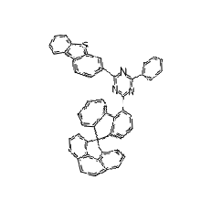 c1ccc(-c2nc(-c3ccc4c(c3)sc3ccccc34)nc(-c3cccc4c3-c3ccccc3C43c4cccc5ccc6cccc3c6c45)n2)cc1